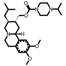 COc1cc2c(cc1OC)[C@H]1C[C@@H](COC(=O)N3CCN(C(C)C)CC3)[C@H](CC(C)C)CN1CC2